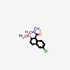 COc1ccc2cc(Br)ccc2c1C(=O)N(C)C